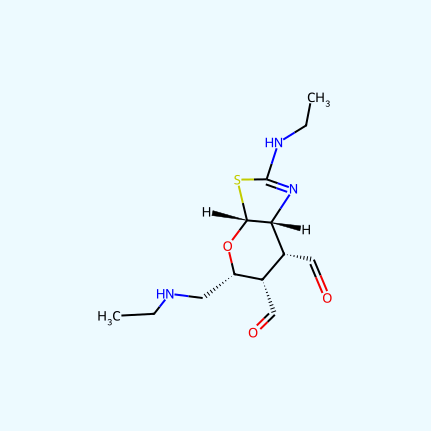 CCNC[C@@H]1O[C@@H]2SC(NCC)=N[C@@H]2[C@H](C=O)[C@@H]1C=O